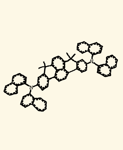 CC1(C)c2cc(N(c3cccc4ccccc34)c3cccc4ccccc34)ccc2-c2ccc3c4c(ccc1c24)C(C)(C)c1cc(N(c2cccc4ccccc24)c2cccc4ccccc24)ccc1-3